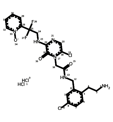 Cl.Cl.NCCc1ccc(Cl)cc1CNC(=O)Cn1c(Cl)cnc(NCC(F)(F)c2cccc[n+]2[O-])c1=O